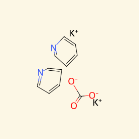 O=C([O-])[O-].[K+].[K+].c1ccncc1.c1ccncc1